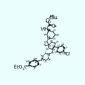 CCOC(=O)c1ccc(N2CCN(CC3=C(c4ccc(Cl)cc4)CCC(C)(CN4CCC[C@@H](NC(=O)OC(C)(C)C)C4)C3)CC2)cc1